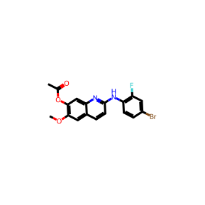 COc1cc2ccc(Nc3ccc(Br)cc3F)nc2cc1OC(C)=O